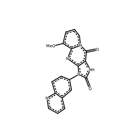 COc1cccn2c(=O)c3[nH]c(=O)n(-c4ccc5ncccc5c4)c3nc12